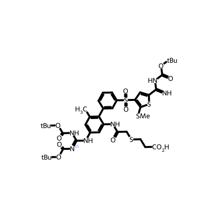 CSc1sc(C(=N)NC(=O)OC(C)(C)C)cc1S(=O)(=O)c1cccc(-c2c(C)cc(N/C(=N/C(=O)OC(C)(C)C)NC(=O)OC(C)(C)C)cc2NC(=O)CSCCC(=O)O)c1